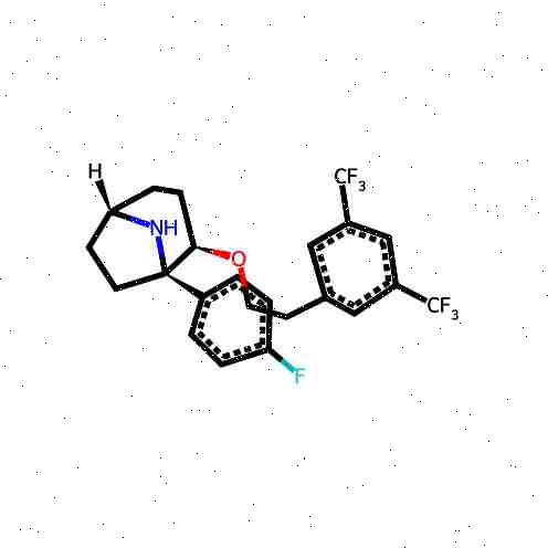 Fc1ccc([C@]23CC[C@H](CC[C@H]2OCCc2cc(C(F)(F)F)cc(C(F)(F)F)c2)N3)cc1